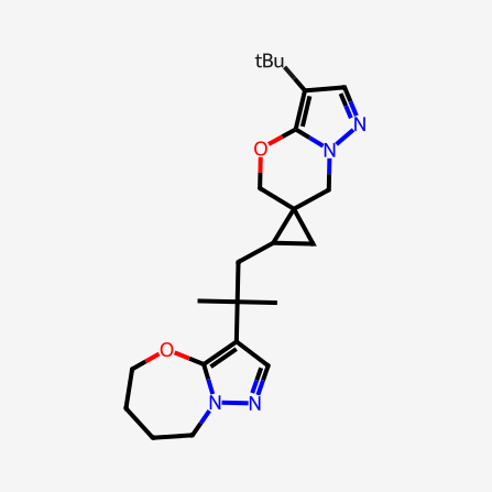 CC(C)(C)c1cnn2c1OCC1(CC1CC(C)(C)c1cnn3c1OCCCC3)C2